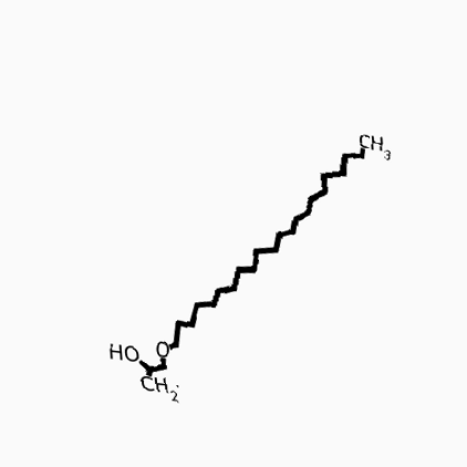 [CH2]C(O)COCCCCCCCCCCCCCCCCCCCCCC